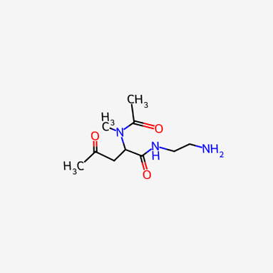 CC(=O)CC(C(=O)NCCN)N(C)C(C)=O